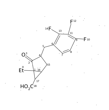 CCC12C(=O)C(Cc3ccc(F)c(F)c3F)CC1C2C(=O)O